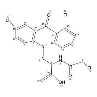 O=C(CCl)NC(N=Nc1ccc(Cl)cc1C(=O)c1ccccc1Cl)C(=O)O